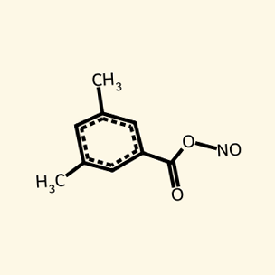 Cc1cc(C)cc(C(=O)ON=O)c1